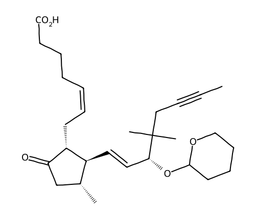 CC#CCC(C)(C)[C@@H](/C=C/[C@H]1[C@H](C)CC(=O)[C@@H]1C/C=C\CCCC(=O)O)OC1CCCCO1